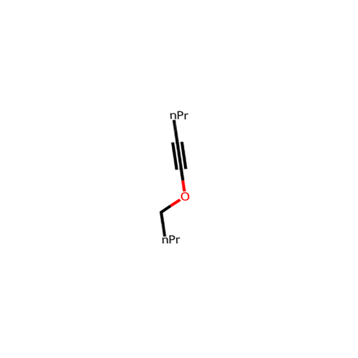 [CH2]CCCOC#CCCC